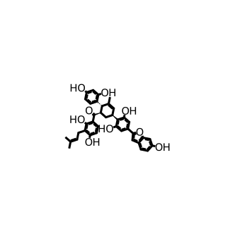 CC(C)=CCc1c(O)ccc(C(=O)[C@@H]2C[C@H](c3c(O)cc(-c4cc5ccc(O)cc5o4)cc3O)C=C(C)[C@H]2c2ccc(O)cc2O)c1O